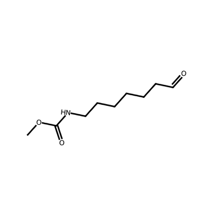 COC(=O)NCCCCCCC=O